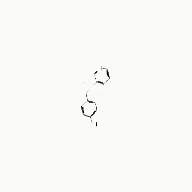 O=S(=O)(Cc1ccc(Cl)cc1Cl)c1cccnc1